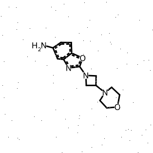 Nc1ccc2oc(N3CC(N4CCOCC4)C3)nc2c1